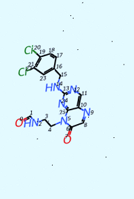 O=CNCCn1c(=O)cnc2cnc(NCc3ccc(Cl)c(Cl)c3)nc21